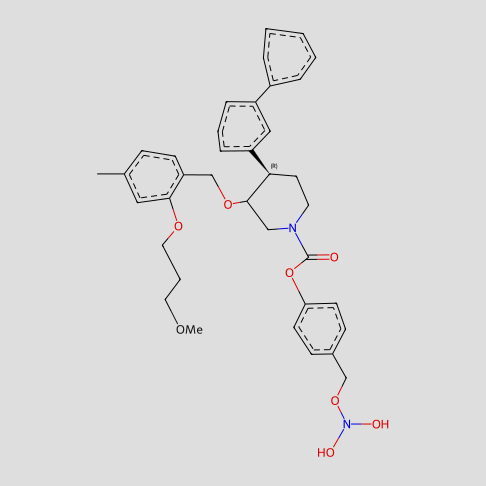 COCCCOc1cc(C)ccc1COC1CN(C(=O)Oc2ccc(CON(O)O)cc2)CC[C@@H]1c1cccc(-c2ccccc2)c1